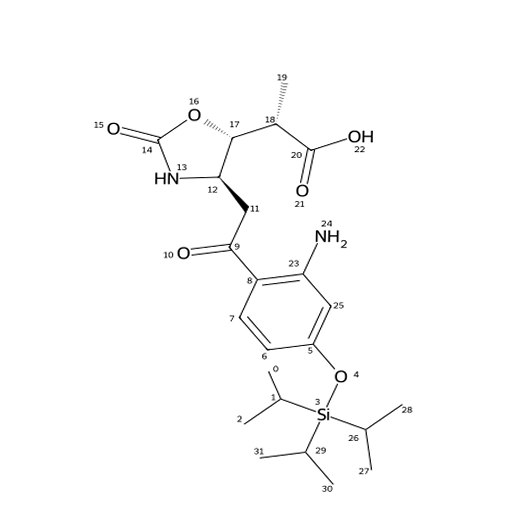 CC(C)[Si](Oc1ccc(C(=O)C[C@H]2NC(=O)O[C@@H]2[C@H](C)C(=O)O)c(N)c1)(C(C)C)C(C)C